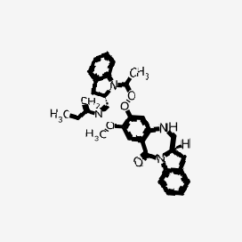 C=C(CC)/N=C\[C@@H]1Cc2ccccc2N1C(C)OOc1cc2c(cc1OC)C(=O)N1c3ccccc3C[C@H]1CN2